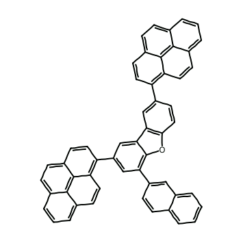 c1ccc2cc(-c3cc(-c4ccc5ccc6cccc7ccc4c5c67)cc4c3oc3ccc(-c5ccc6ccc7cccc8ccc5c6c78)cc34)ccc2c1